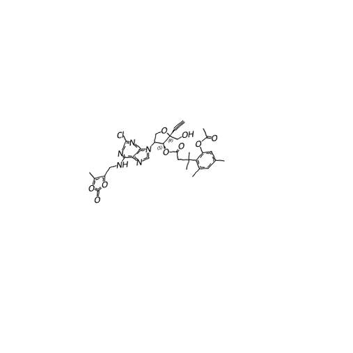 C#C[C@]1(CO)OCC(n2cnc3c(NCc4oc(=O)oc4C)nc(Cl)nc32)[C@@H]1OC(=O)CC(C)(C)c1c(C)cc(C)cc1OC(C)=O